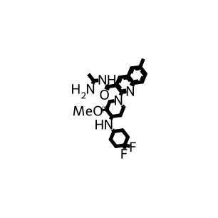 CO[C@H]1CN(c2nc3ccc(C)cc3cc2C(=O)NC(C)N)CCC1NC1CCC(F)(F)CC1